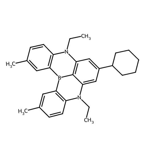 CCN1c2ccc(C)cc2B2c3cc(C)ccc3N(CC)c3cc(C4CCCCC4)cc1c32